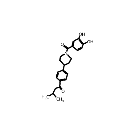 CC(C)CC(=O)c1ccc(C2CCN(C(=O)c3ccc(O)c(O)c3)CC2)cc1